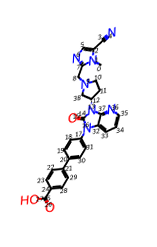 Cn1c(C#N)cnc1CN1CC[C@H](n2c(=O)n(-c3ccc(-c4ccc(C(=O)O)cc4)cc3)c3cccnc32)C1